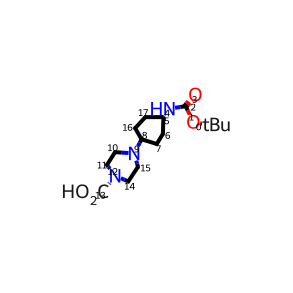 CC(C)(C)OC(=O)NC1CCC(N2CCN(C(=O)O)CC2)CC1